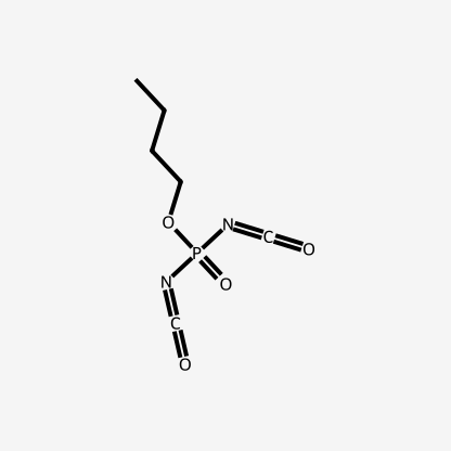 CCCCOP(=O)(N=C=O)N=C=O